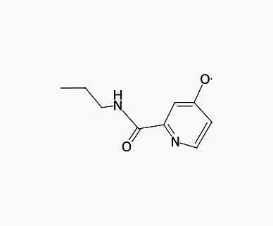 CCCNC(=O)c1cc([O])ccn1